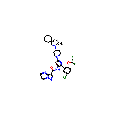 CN(CC1(C#N)CCCCC1)C1CCN(c2nc(-c3cc(Cl)ccc3OC(F)F)c(NC(=O)c3cnn4cccnc34)s2)CC1